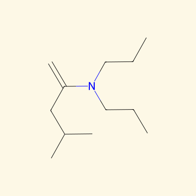 C=C(CC(C)C)N(CCC)CCC